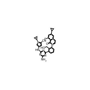 N#Cc1cc(Nc2nc(N)nc(-c3cccc(-n4ccc5cc(C6CC6)cc(F)c5c4=O)c3CO)n2)cn1C1CC1